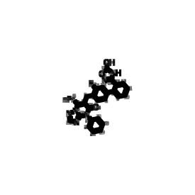 CCCc1c(Cc2ccc(-c3ccccc3C3=NOC(O)N3)cc2F)c(=O)n(-c2ccccc2)c2ncnn12